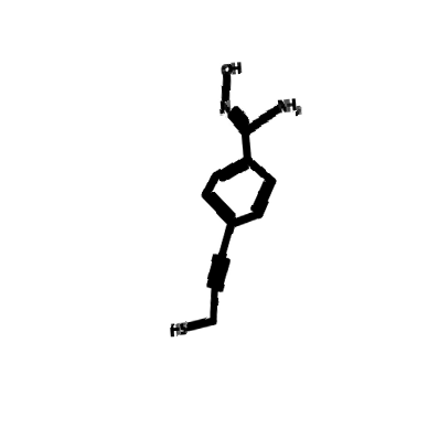 N/C(=N\O)c1ccc(C#CCS)cc1